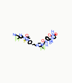 Cn1nc(N2CCC(=O)NC2=O)c2cccc(NC(=O)CN3CCN(CCC[C@H]4CC[C@H](N5C(=S)N(c6cnc(C#N)c(C(F)(F)F)c6)C(=O)C5(C)C)CC4)C[C@@H]3C(F)(F)F)c21